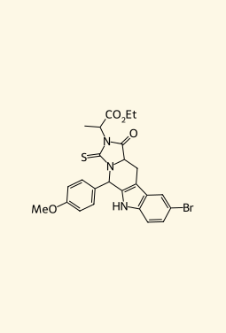 CCOC(=O)C(C)N1C(=O)C2Cc3c([nH]c4ccc(Br)cc34)C(c3ccc(OC)cc3)N2C1=S